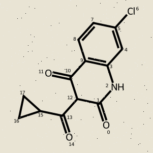 O=C1Nc2cc(Cl)ccc2C(=O)C1C(=O)C1CC1